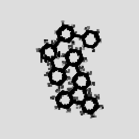 C1=CCCC(c2cccc(-c3ccnc(-c4ccccc4-c4ccccc4-c4ccc5c6ccccc6c6ccccc6c5c4)n3)c2)=C1